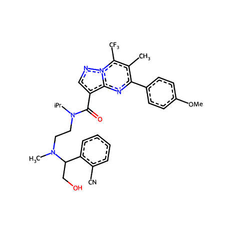 COc1ccc(-c2nc3c(C(=O)N(CCN(C)C(CO)c4ccccc4C#N)C(C)C)cnn3c(C(F)(F)F)c2C)cc1